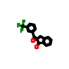 O=C1c2ccccc2CC12OC2c1cccc(C(F)(F)F)c1